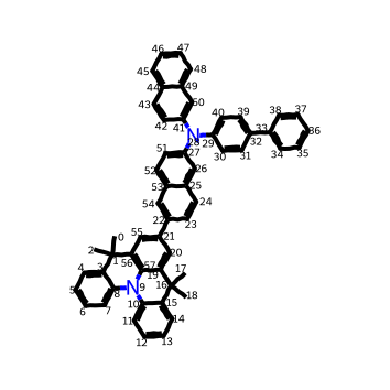 CC1(C)c2ccccc2N2c3ccccc3C(C)(C)c3cc(-c4ccc5cc(N(c6ccc(-c7ccccc7)cc6)c6ccc7ccccc7c6)ccc5c4)cc1c32